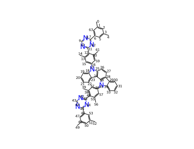 Cc1cc(C)cc(-c2ncnc(-c3c(C)cc(-n4c5ccccc5c5c4ccc4c6ccccc6n(-c6cc(C)c(-c7ncnc(-c8cc(C)cc(C)c8)n7)c(C)c6)c45)cc3C)n2)c1